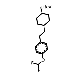 CCCCCC[C@H]1CC[C@H](CCc2ccc(OC(F)F)cc2)CC1